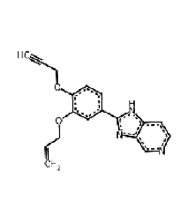 C#CCOc1ccc(-c2nc3cnccc3[nH]2)cc1OCC=C